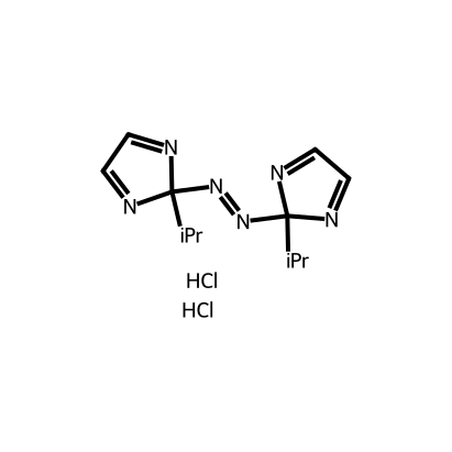 CC(C)C1(N=NC2(C(C)C)N=CC=N2)N=CC=N1.Cl.Cl